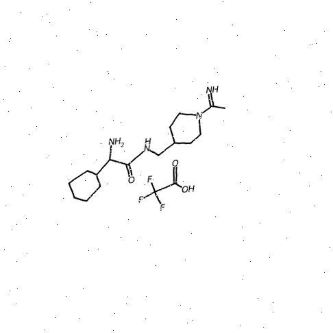 CC(=N)N1CCC(CNC(=O)C(N)C2CCCCC2)CC1.O=C(O)C(F)(F)F